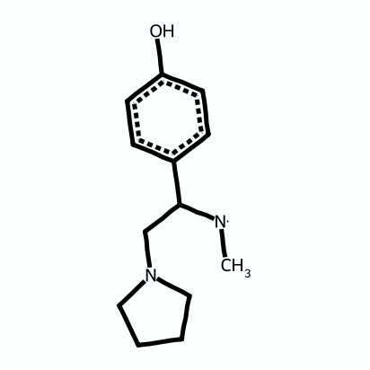 C[N]C(CN1CCCC1)c1ccc(O)cc1